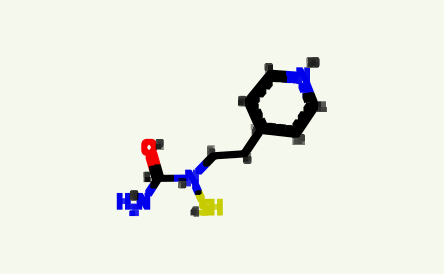 NC(=O)N(S)CCc1ccncc1